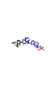 C\C=C/C(=N\N=C\C(=O)NCC1(O)CC1)Nc1ncnc2c1CCN(c1ccc(C#N)c(C(F)(F)F)c1)C2